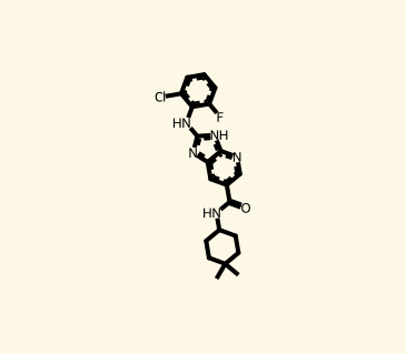 CC1(C)CCC(NC(=O)c2cnc3[nH]c(Nc4c(F)cccc4Cl)nc3c2)CC1